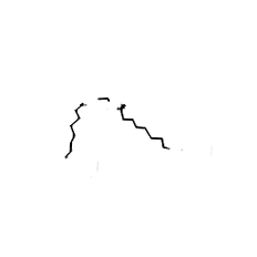 CC(COC(=O)CCCCCCCC(=O)O)OC(=O)CCCCCCCC(=O)O